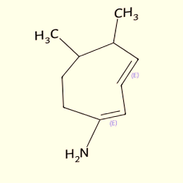 CC1/C=C/C=C(/N)CCC1C